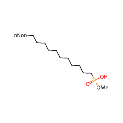 CCCCCCCCCCCCCCCCCCCCP(=O)(O)OC